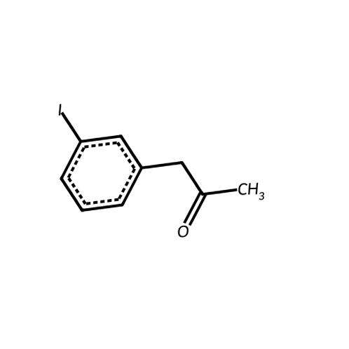 CC(=O)Cc1cccc(I)c1